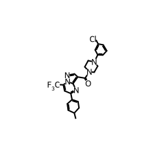 CC1C=CC(c2cc(C(F)(F)F)n3ncc(C(=O)N4CCN(c5cccc(Cl)c5)CC4)c3n2)=CC1